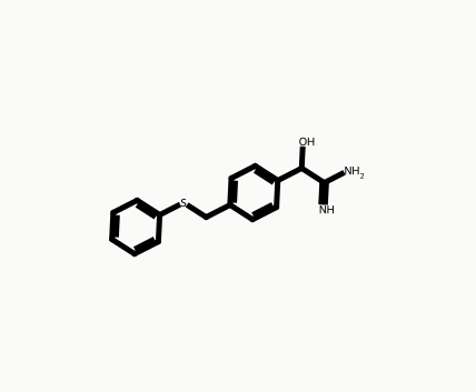 N=C(N)C(O)c1ccc(CSc2ccccc2)cc1